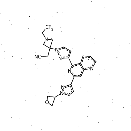 N#CCC1(n2ccc(-c3nc(-c4ccn(C5COC5)n4)cc4ncccc34)n2)CN(CC(F)(F)F)C1